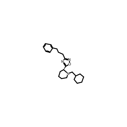 c1ccc(CCCc2noc([C@@H]3CCCCN3CC3CCCCC3)n2)cc1